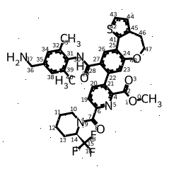 COC(=O)c1nc(C(=O)N2CCCC[C@@H]2C(F)(F)F)ccc1-c1cc2c(cc1C(=O)Nc1c(C)cc(CN)cc1C)-c1sccc1CCO2